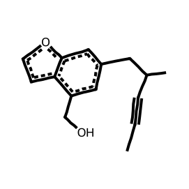 CC#CC(C)Cc1cc(CO)c2ccoc2c1